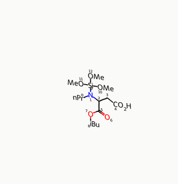 CCCN(C(CC(=O)O)C(=O)OC(C)CC)[Si](OC)(OC)OC